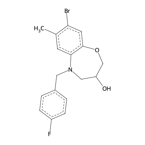 Cc1cc2c(cc1Br)OCC(O)CN2Cc1ccc(F)cc1